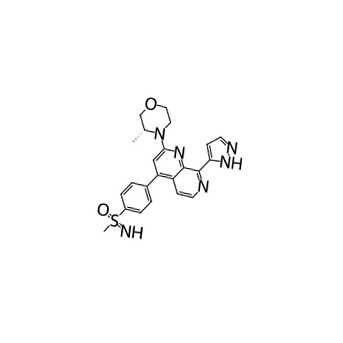 C[C@@H]1COCCN1c1cc(-c2ccc(S(C)(=N)=O)cc2)c2ccnc(-c3ccn[nH]3)c2n1